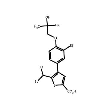 CCc1cc(-c2cc(C(=O)O)sc2C(CC)CC)ccc1OCC(C)(O)C(C)(C)C